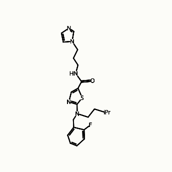 CC(C)CCN(Cc1ccccc1F)c1ncc(C(=O)NCCCn2ccnc2)s1